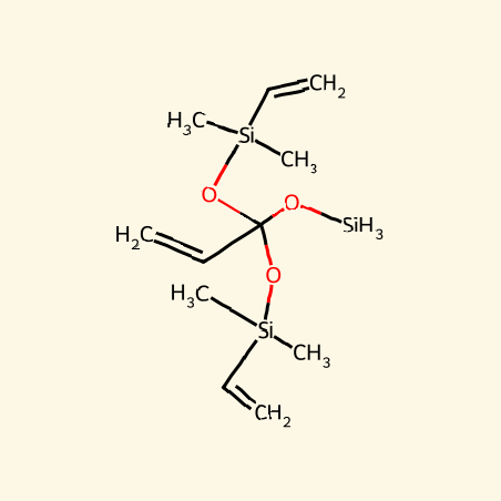 C=CC(O[SiH3])(O[Si](C)(C)C=C)O[Si](C)(C)C=C